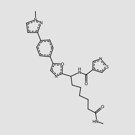 CNC(=O)CCCCCC(NC(=O)c1cnsc1)c1ncc(-c2ccc(-c3ccn(C)n3)cc2)o1